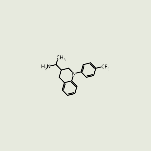 CC(N)C1Cc2ccccc2N(c2ccc(C(F)(F)F)cc2)C1